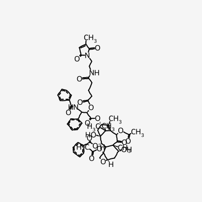 CC(=O)O[C@H]1C(=O)[C@@]2(C)[C@H]([C@H](OC(=O)c3ccccc3)[C@]3(O)C[C@H](OC(=O)[C@H](OC(=O)CCCC(=O)NCCN4C(=O)C=C(C)C4=O)C(NC(=O)c4ccccc4)c4ccccc4)C(C)=C1C3(C)C)[C@]1(OC(C)=O)CO[C@@H]1C[C@@H]2O